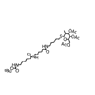 CC(=O)OCC1O[C@@H](SCCCCCNC(=O)CCCCCNC(=O)CCCCCNC(=O)OC(C)(C)C)C(C)[C@@H](OC(C)=O)[C@H]1OC(C)=O